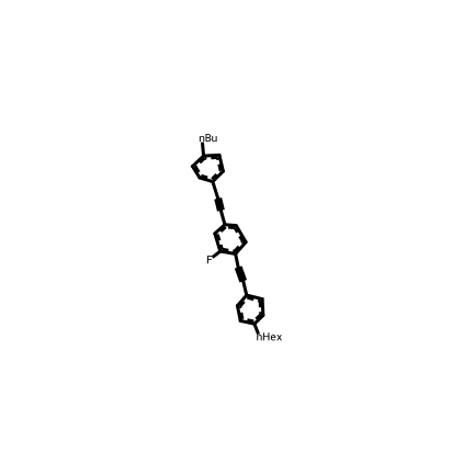 CCCCCCc1ccc(C#Cc2ccc(C#Cc3ccc(CCCC)cc3)cc2F)cc1